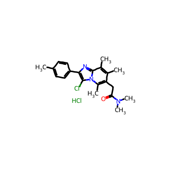 Cc1ccc(-c2nc3c(C)c(C)c(CC(=O)N(C)C)c(C)n3c2Cl)cc1.Cl